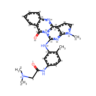 Cc1ccc(NC(=O)CN(C)C)cc1Nc1nc2c(ccn2C)c2nc3ccccc3c(=O)n12